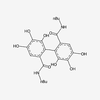 CCCCNC(=O)c1cc(O)c(O)c(O)c1-c1c(C(=O)NCCCC)cc(O)c(O)c1O